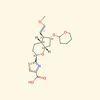 CO/C=C/[C@@H]1[C@H]2CC[C@H](c3nc(C(=O)O)cs3)O[C@H]2C[C@H]1OC1CCCCO1